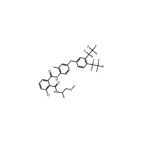 CSCC(C)NC(=O)c1c(Cl)cccc1C(=O)Nc1ccc(Cc2ccc(C(F)(F)C(F)(F)F)c(C(F)(F)C(F)(F)F)c2)cc1C